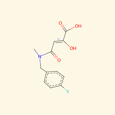 CN(Cc1ccc(F)cc1)C(=O)/C=C(\O)C(=O)O